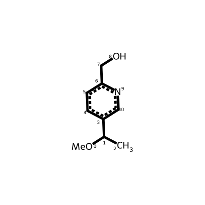 COC(C)c1ccc(CO)nc1